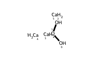 OOO.[CaH2].[CaH2].[CaH2]